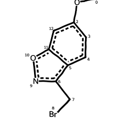 COc1ccc2c(CBr)noc2c1